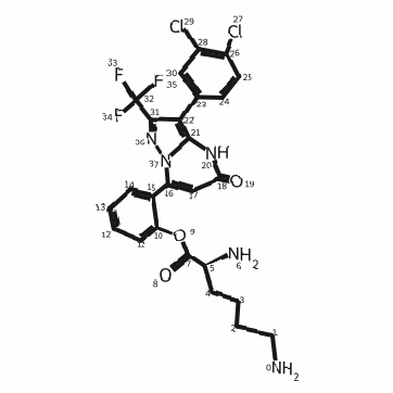 NCCCC[C@H](N)C(=O)Oc1ccccc1-c1cc(=O)[nH]c2c(-c3ccc(Cl)c(Cl)c3)c(C(F)(F)F)nn12